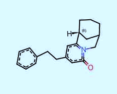 O=c1cc(CCc2ccccc2)cc2n1CC1CCC[C@@H]2C1